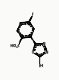 O=C(O)c1ccc(F)cc1-c1nnc(S)o1